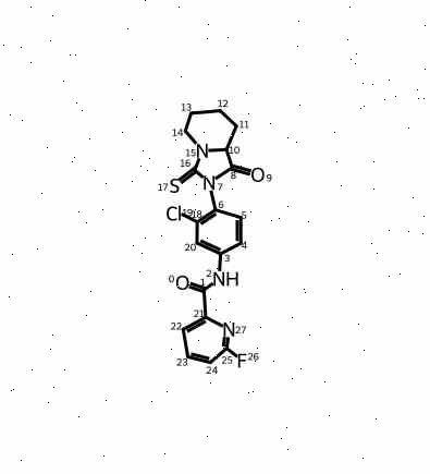 O=C(Nc1ccc(N2C(=O)C3CCCCN3C2=S)c(Cl)c1)c1cccc(F)n1